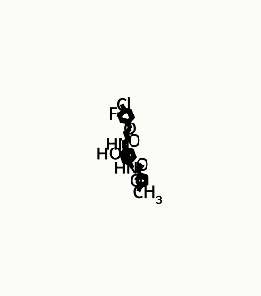 Cc1ccc(C(=O)NC23CCC(NC(=O)COc4ccc(Cl)c(F)c4)(CC2)C(O)C3)o1